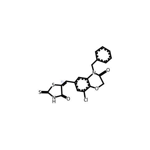 O=C1NC(=S)S/C1=C/c1cc(Cl)c2c(c1)N(Cc1ccccc1)C(=O)CO2